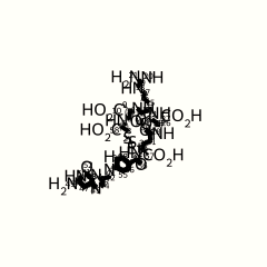 CCSSC[C@H](NC(=O)[C@H](CC(=O)O)NC(=O)[C@H](CCCNC(=N)N)NC(=O)[C@H](CC(=O)O)NC(=O)CC[C@H](NC(=O)c1ccc(NCc2cnc3cc(N)[nH]c(=O)c3n2)cc1)C(=O)O)C(=O)O